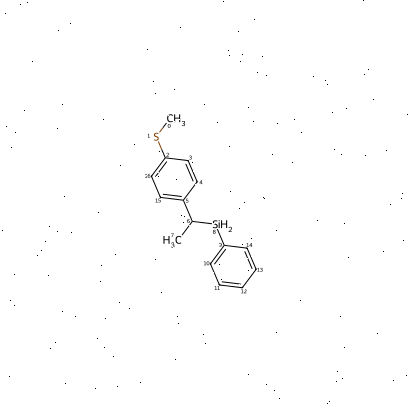 CSc1ccc(C(C)[SiH2]c2ccccc2)cc1